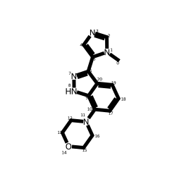 Cn1cncc1-c1n[nH]c2c(N3CCOCC3)cccc12